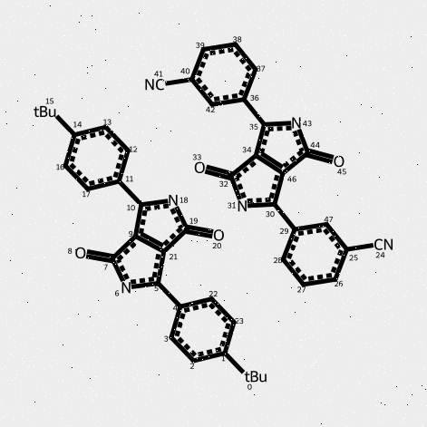 CC(C)(C)c1ccc(-c2nc(=O)c3c(-c4ccc(C(C)(C)C)cc4)nc(=O)c2=3)cc1.N#Cc1cccc(-c2nc(=O)c3c(-c4cccc(C#N)c4)nc(=O)c2=3)c1